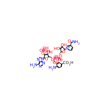 NC(=O)c1ccc[n+]([C@@H]2O[C@H](COP(=O)([O-])OP(=O)(O)OC[C@H]3O[C@@H](n4cnc5c(N)ncnc54)[C@H](OP(=O)(O)O)[C@@H]3O)[C@@H](O)[C@H]2O)c1.Nc1ccc(C(=O)O)cc1